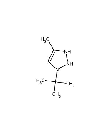 CC1=CN(C(C)(C)C)NN1